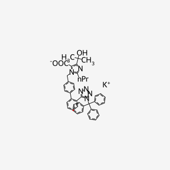 CCCc1nc(C(C)(C)O)c(C(=O)[O-])n1Cc1ccc(-c2ccccc2-c2nnnn2C(c2ccccc2)(c2ccccc2)c2ccccc2)cc1.[K+]